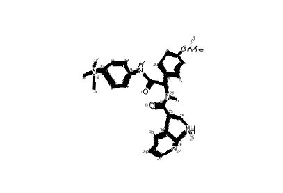 COc1ccc(C(C(=O)Nc2ccc(S(C)(C)C)cc2)N(C)C(=O)c2c[nH]c3ncccc23)cc1